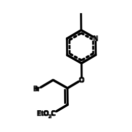 CCOC(=O)C=C(CBr)Oc1ccc(C)nc1